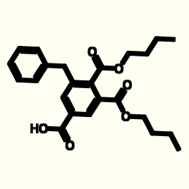 CCCCOC(=O)c1cc(C(=O)O)cc(Cc2ccccc2)c1C(=O)OCCCC